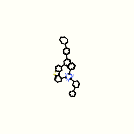 C1=CCC=C(c2ccc(-c3cccc(-c4ccc5sc6c(c5c4)=C(c4nc(-c5ccccc5)nc(C5C=C(c7ccccc7)C=CC5)n4)CCC=6)c3)cc2)C=C1